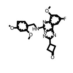 COc1ccc(CNc2nc3c(OC)cc(F)cc3c3nc(C4CC(=O)C4)nn23)c(OC)c1